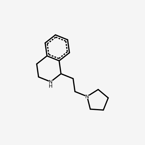 c1ccc2c(c1)CCNC2CCN1CCCC1